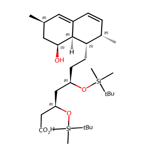 C[C@H]1C=C2C=C[C@H](C)[C@H](CC[C@H](C[C@H](CC(=O)O)O[Si](C)(C)C(C)(C)C)O[Si](C)(C)C(C)(C)C)[C@H]2[C@@H](O)C1